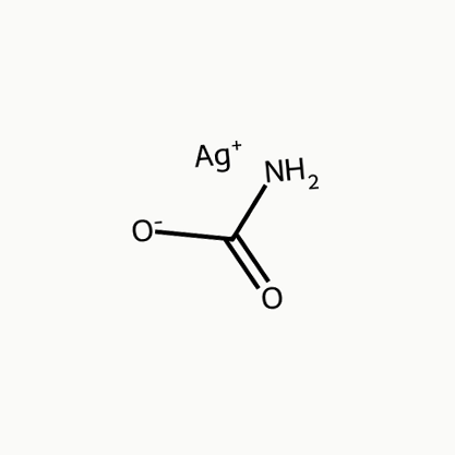 NC(=O)[O-].[Ag+]